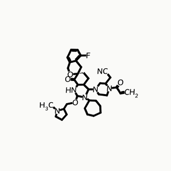 C=CC(=O)N1CCN(C2C3CC[C@]4(Cc5c(F)cccc5CO4)C(=O)C3NC(OCC3CCCN3C)N2C2CCCCCC2)CC1CC#N